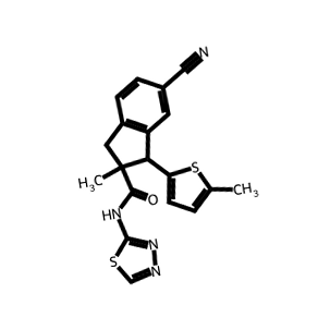 Cc1ccc(C2c3cc(C#N)ccc3CC2(C)C(=O)Nc2nncs2)s1